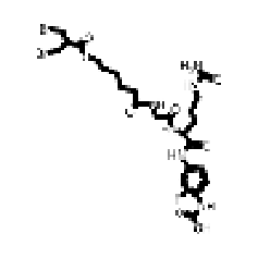 NC(=O)NCCCC(NC(=O)CNC(=O)CCCCCOC(=O)C(CBr)CBr)C(=O)Nc1ccc(NC(=O)O)c(F)c1